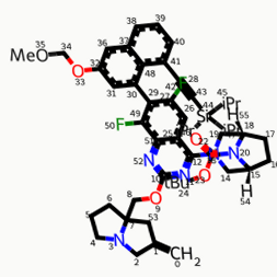 C=C1CN2CCCC2(COc2nc(N3C[C@H]4CC[C@@H](C3)N4C(=O)OC(C)(C)C)c3cc(F)c(-c4cc(OCOC)cc5cccc(C#C[Si](C(C)C)(C(C)C)C(C)C)c45)c(F)c3n2)C1